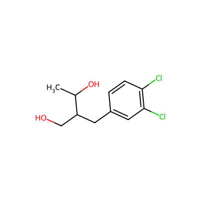 CC(O)C(CO)Cc1ccc(Cl)c(Cl)c1